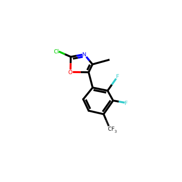 Cc1nc(Cl)oc1-c1ccc(C(F)(F)F)c(F)c1F